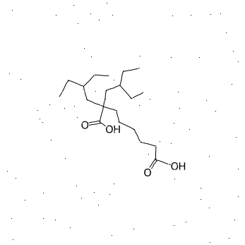 CCC(CC)CC(CCCCCC(=O)O)(CC(CC)CC)C(=O)O